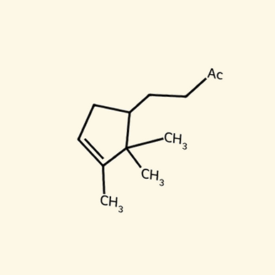 CC(=O)CCC1CC=C(C)C1(C)C